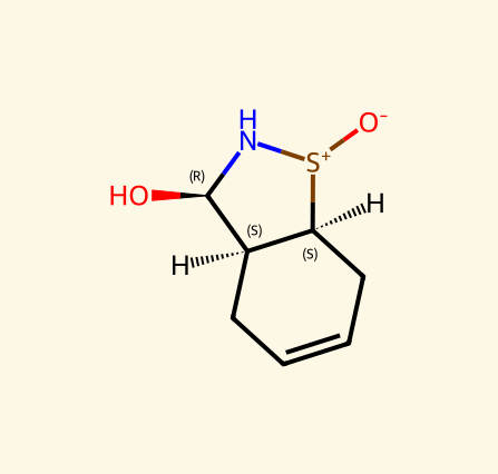 [O-][S+]1N[C@H](O)[C@@H]2CC=CC[C@@H]21